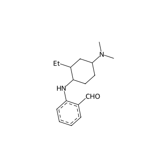 CCC1CC(N(C)C)CCC1Nc1ccccc1C=O